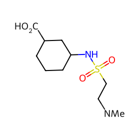 CNCCS(=O)(=O)NC1CCCC(C(=O)O)C1